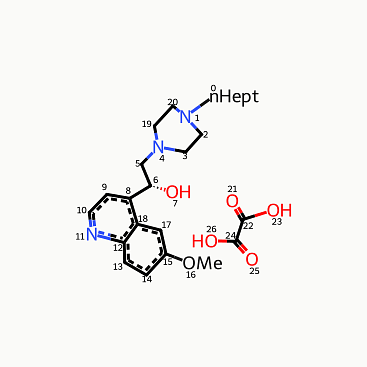 CCCCCCCN1CCN(C[C@H](O)c2ccnc3ccc(OC)cc23)CC1.O=C(O)C(=O)O